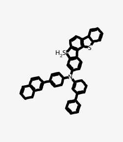 C1=CC2Sc3c(ccc4c3-c3ccc(N(C5=CC(c6ccccc6)=CCC5)C5C=CC(c6ccc7c(c6)CCC=C7)=CC5)cc3[SiH2]4)C2C=C1